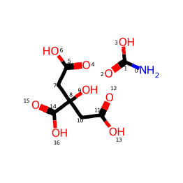 NC(=O)O.O=C(O)CC(O)(CC(=O)O)C(=O)O